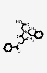 CC(CSC(=O)c1ccccc1)C(=O)N(CC(=O)O)N(C)Cc1ccccc1